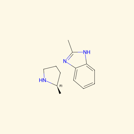 C[C@@H]1CCCN1.Cc1nc2ccccc2[nH]1